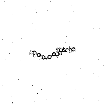 COC1(C(=O)NCc2ccc(-c3nn4c(c3C(N)=O)Nc3ccc(N5CCN(CC6CCN(c7ccc(N8CCC(=O)NC8=O)cc7)CC6)CC5)cc3CC4)cc2C)C=CC=NC1